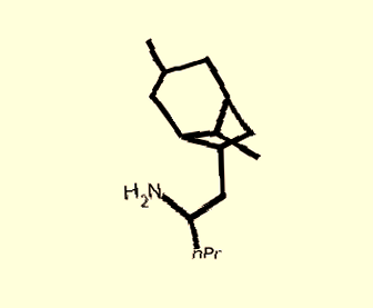 CCCC(N)CC1CC2CC(C)CC1C2C